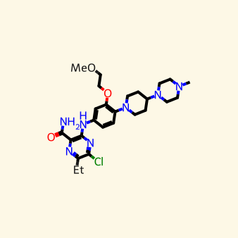 CCc1nc(C(N)=O)c(Nc2ccc(N3CCC(N4CCN(C)CC4)CC3)c(OCCOC)c2)nc1Cl